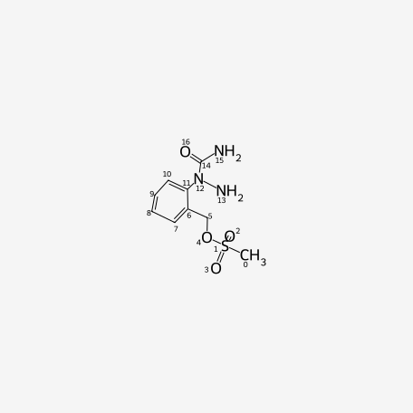 CS(=O)(=O)OCc1ccccc1N(N)C(N)=O